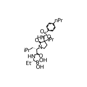 CCCc1ccc(S(=O)(=O)NC2(C(C)C)CCN([C@@H](CC(C)C)C(=O)N[C@@H](CC)B(O)O)C2=O)cc1